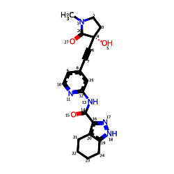 CN1CC[C@@](O)(C#Cc2ccnc(NC(=O)c3n[nH]c4c3CCCC4)c2)C1=O